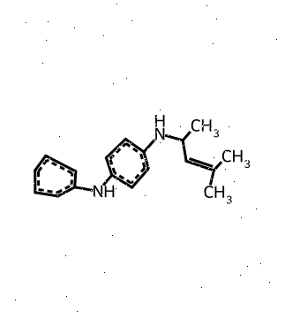 CC(C)=CC(C)Nc1ccc(Nc2ccccc2)cc1